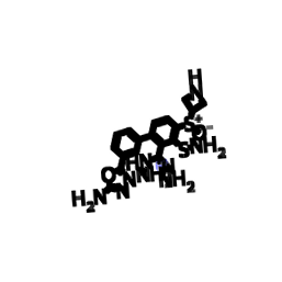 N/N=C(\NN)c1c(-c2cccc(-c3nnc(N)o3)c2)ccc([S+]([O-])C2CNC2)c1SN